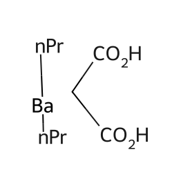 CC[CH2][Ba][CH2]CC.O=C(O)CC(=O)O